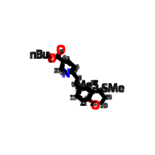 CCCCOC(=O)c1ccc(CCc2ccc3c(c2)C(SC)(SC)CCO3)nc1